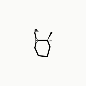 C[C@H]1CCCCN1C(C)(C)C